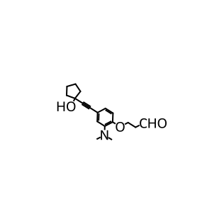 CN(C)c1cc(C#CC2(O)CCCC2)ccc1OCCC=O